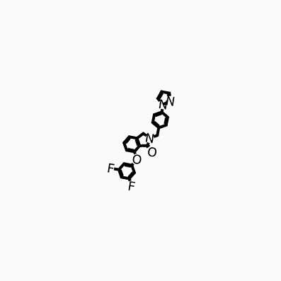 O=C1c2c(cccc2Oc2cc(F)cc(F)c2)CN1Cc1ccc(-n2cccn2)cc1